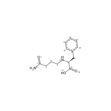 NC(=O)CCCN[C@@H](Cc1ccccc1)C(=O)O